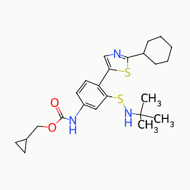 CC(C)(C)NSc1cc(NC(=O)OCC2CC2)ccc1-c1cnc(C2CCCCC2)s1